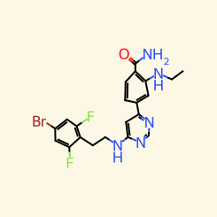 CCNc1cc(-c2cc(NCCc3c(F)cc(Br)cc3F)ncn2)ccc1C(N)=O